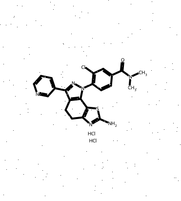 CN(C)C(=O)c1ccc(-n2nc(-c3cccnc3)c3c2-c2sc(N)nc2CC3)c(Cl)c1.Cl.Cl